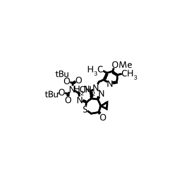 C=C(/N=C1/SCC(=O)C2(CC2)c2nn(Cc3ncc(C)c(OC)c3C)c(N)c21)N(C(=O)OC(C)(C)C)C(=O)OC(C)(C)C